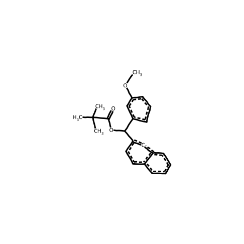 COc1cccc(C(OC(=O)C(C)(C)C)c2ccc3ccccc3c2)c1